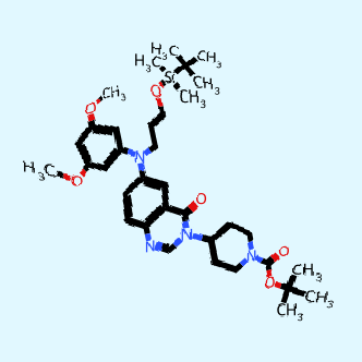 COc1cc(OC)cc(N(CCCO[Si](C)(C)C(C)(C)C)c2ccc3ncn(C4CCN(C(=O)OC(C)(C)C)CC4)c(=O)c3c2)c1